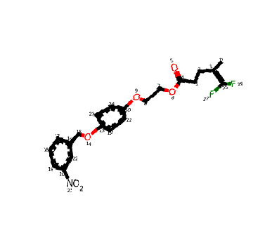 CC(CCC(=O)OCCOc1ccc(OCc2cccc([N+](=O)[O-])c2)cc1)=C(F)F